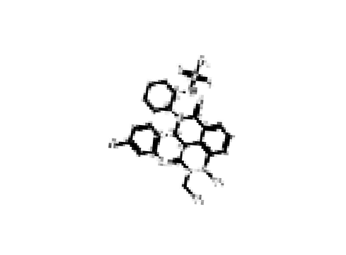 CCOC(=O)[C@@H]1c2c(OC)cccc2C(=O)N([C@H]2CCCC[C@@H]2NS(C)(=O)=O)[C@H]1c1ccc(Cl)cc1Cl